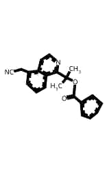 CC(C)(OC(=O)c1ccccc1)c1nccc2c(CC#N)cccc12